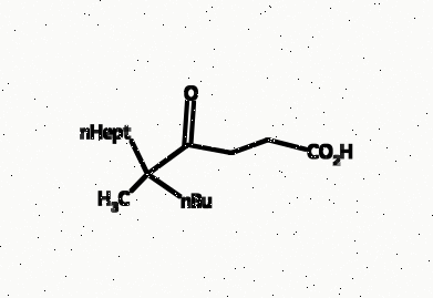 CCCCCCCC(C)(CCCC)C(=O)CCC(=O)O